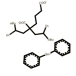 CCCCC(CC)CC(CCCC(=O)[O-])(CC(CC)CCCC)C(=O)[O-].c1cc[c]([Sn+2][c]2ccccc2)cc1